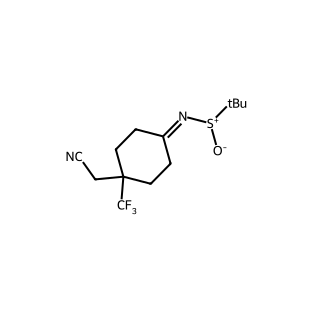 CC(C)(C)[S+]([O-])N=C1CCC(CC#N)(C(F)(F)F)CC1